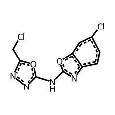 ClCc1nnc(Nc2nc3ccc(Cl)cc3o2)o1